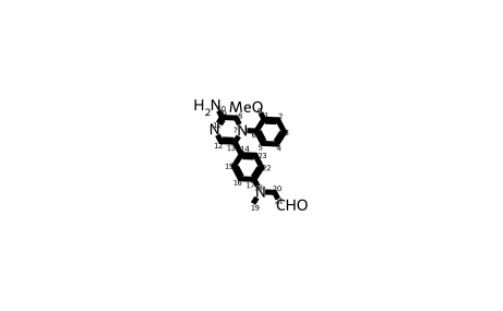 COc1ccccc1N1CC(N)=NC=C1c1ccc(N(C)CC=O)cc1